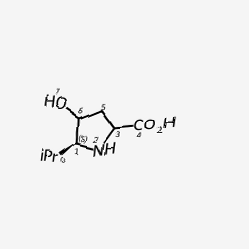 CC(C)[C@@H]1NC(C(=O)O)CC1O